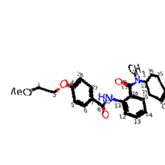 COCCOc1ccc(C(=O)Nc2ccccc2C(=O)N(C)C2CCCCC2)cc1